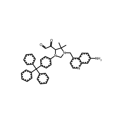 CC1(C)C(C(=O)C=O)N(c2ccc(C(c3ccccc3)(c3ccccc3)c3ccccc3)cc2)CN1Cc1ccnc2cc(N)ccc12